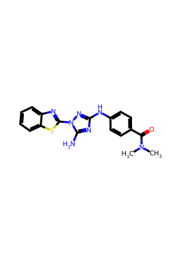 CN(C)C(=O)c1ccc(Nc2nc(N)n(-c3nc4ccccc4s3)n2)cc1